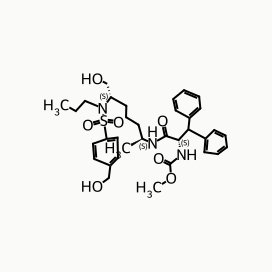 CCCN([C@H](CO)CCC[C@H](C)NC(=O)[C@@H](NC(=O)OC)C(c1ccccc1)c1ccccc1)S(=O)(=O)c1ccc(CO)cc1